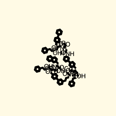 COC(=O)[C@H](CCCc1cccc(-c2ccc(C[C@@H](CP(=O)(O)CCc3ccccc3)C(=O)N[C@@H](Cc3ccc4ccccc4c3)C(=O)O)cc2)c1)NC(=O)[C@H](Cc1ccc(-c2cccc(NC(=O)C[C@H](NC(=O)[C@@H](Cc3ccc(-c4ccccc4)cc3)CP(=O)(O)CCc3ccccc3)C(=O)O)c2)cc1)CP(=O)(O)CCc1ccccc1